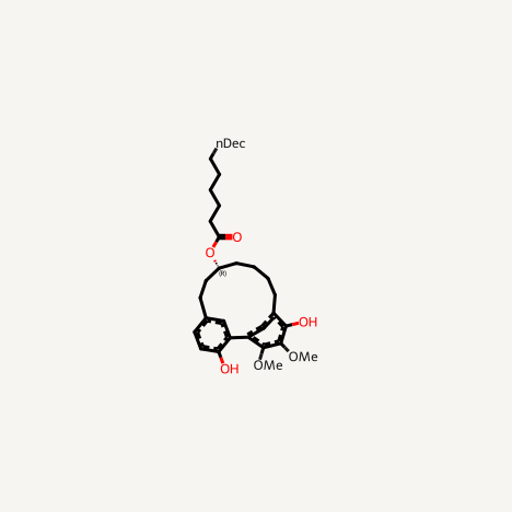 CCCCCCCCCCCCCCCC(=O)O[C@@H]1CCCCc2cc(c(OC)c(OC)c2O)-c2cc(ccc2O)CC1